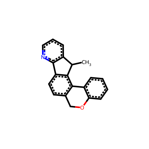 CC1c2cccnc2-c2ccc3c(c21)-c1ccccc1OC3